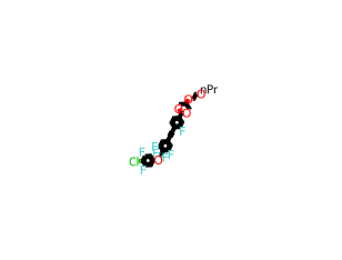 CCCOCCOC1COC(c2ccc(C#Cc3cc(F)c(C(F)(F)Oc4cc(F)c(Cl)c(F)c4)c(F)c3)c(F)c2)OC1